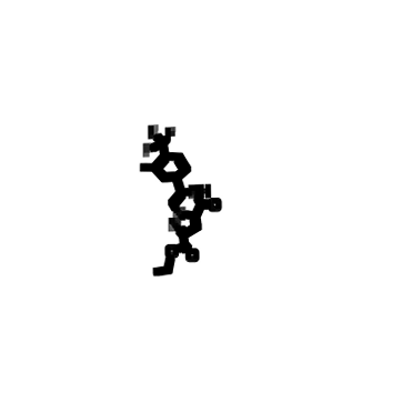 CCOC(=O)c1cc2c(=O)[nH]c(-c3ccc(C(F)(F)F)c(C)c3)cn2n1